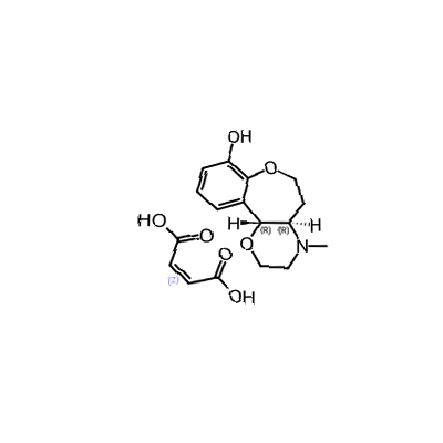 CN1CCO[C@@H]2c3cccc(O)c3OCC[C@H]21.O=C(O)/C=C\C(=O)O